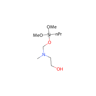 CCC[Si](OC)(OC)OCN(C)CCO